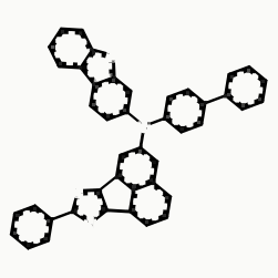 c1ccc(-c2ccc(N(c3cc4c5c(cccc5c3)-c3nc(-c5ccccc5)sc3-4)c3ccc4c(c3)oc3ccccc34)cc2)cc1